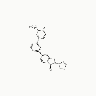 Cc1ccc(-c2cccc(-c3ccc4c(c3)CN(C3CCCC3)C4=O)c2)cc1C(=O)O